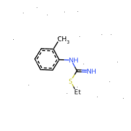 CCSC(=N)Nc1ccccc1C